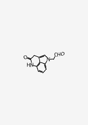 O=CCn1cc2c3c(cccc31)NC(=O)C2